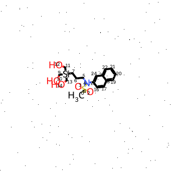 CS(=O)(=O)N(CCC[Si](CO)(CO)CO)c1ccc2ccccc2c1